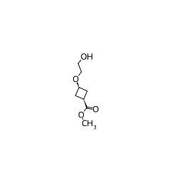 COC(=O)[C@H]1C[C@@H](OCCO)C1